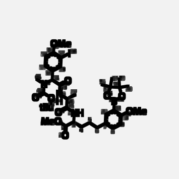 COC(=O)[C@H](CCCc1ccc(OC)c(B2OC(C)(C)C(C)(C)O2)c1)NC(=O)[C@H](C)NC(=O)[C@H](c1ccc(OC)c(I)c1)N(C)C(=O)OC(C)(C)C